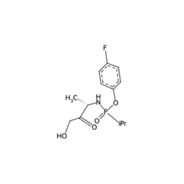 CC(C)P(=O)(N[C@@H](C)C(=O)CO)Oc1ccc(F)cc1